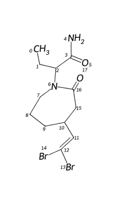 CCC(C(N)=O)N1CCCC(C=C(Br)Br)CC1=O